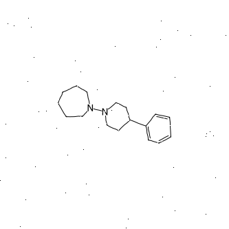 c1ccc(C2CCN(N3CCCCCC3)CC2)cc1